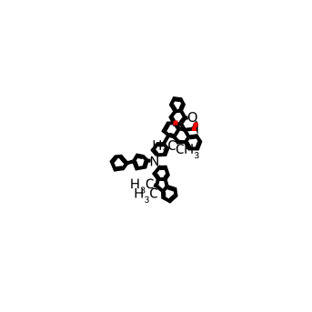 CC1(C)c2ccccc2-c2ccc(N(c3ccc(-c4ccccc4)cc3)c3ccc(-c4cccc5c4C(C)(C)c4ccccc4C54c5ccccc5Oc5c4ccc4ccccc54)cc3)cc21